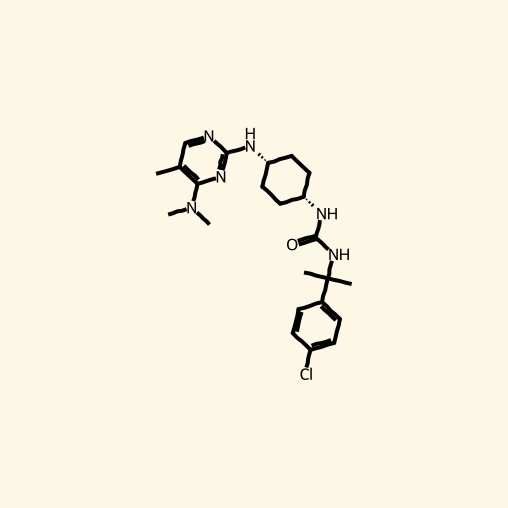 Cc1cnc(N[C@H]2CC[C@@H](NC(=O)NC(C)(C)c3ccc(Cl)cc3)CC2)nc1N(C)C